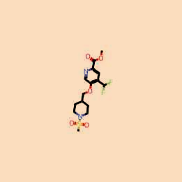 COC(=O)c1cc(C(F)F)c(OCC2CCN(S(C)(=O)=O)CC2)cn1